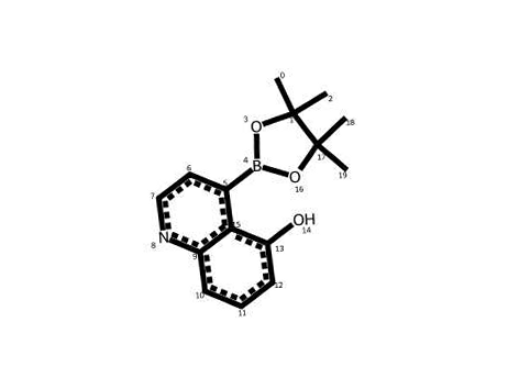 CC1(C)OB(c2ccnc3cccc(O)c23)OC1(C)C